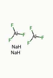 [F][Al]([F])[F].[F][Al]([F])[F].[NaH].[NaH]